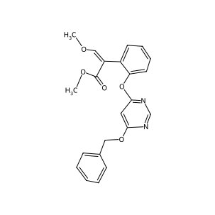 COC=C(C(=O)OC)c1ccccc1Oc1cc(OCc2ccccc2)ncn1